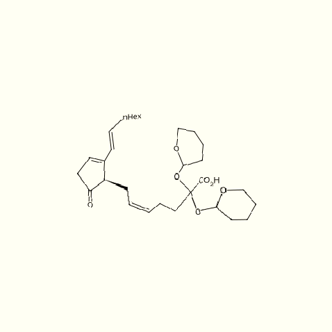 CCCCCC/C=C/C1=CCC(=O)[C@@H]1C/C=C\CCC(OC1CCCCO1)(OC1CCCCO1)C(=O)O